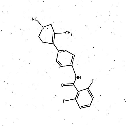 CC1=C(c2ccc(NC(=O)c3c(F)cccc3F)cc2)CCN(C#N)C1